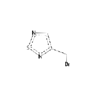 BrCc1cnsn1